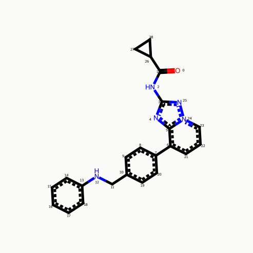 O=C(Nc1nc2c(-c3ccc(CNc4ccccc4)cc3)cccn2n1)C1CC1